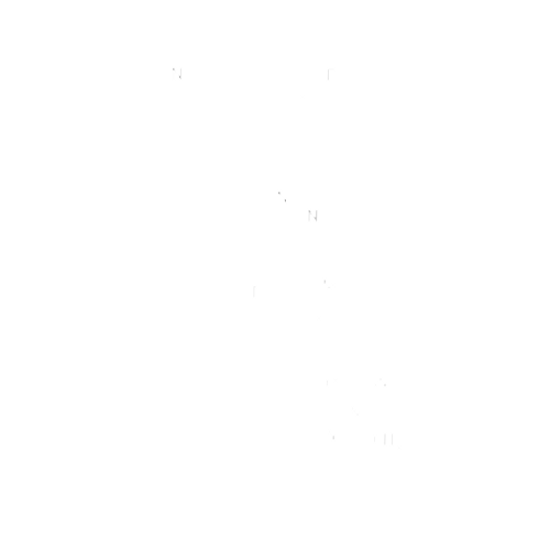 CS(=O)(=O)OCCOc1nn(-c2cc(F)cc(C#N)c2)cc1I